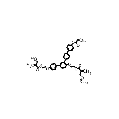 C=CC(=O)Oc1ccc(-c2ccc(-c3cc(-c4ccc(OCCOC(=O)C(=C)CO)cc4)ccc3OCCOC(=O)C(=C)COC)cc2)cc1